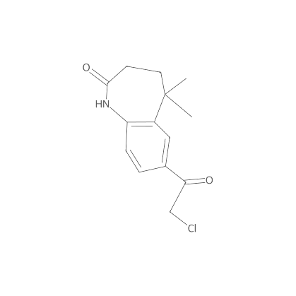 CC1(C)CCC(=O)Nc2ccc(C(=O)CCl)cc21